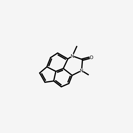 Cn1c(=O)n(C)c2ccc3ccc4ccc1c2c43